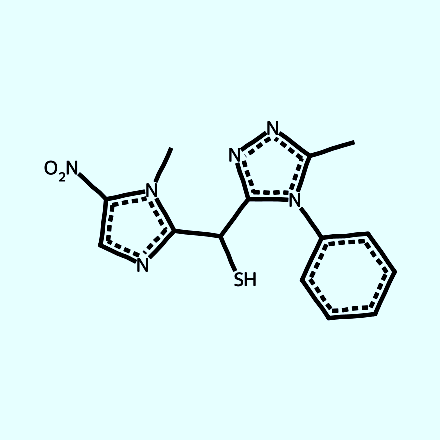 Cc1nnc(C(S)c2ncc([N+](=O)[O-])n2C)n1-c1ccccc1